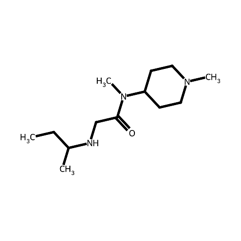 CCC(C)NCC(=O)N(C)C1CCN(C)CC1